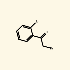 O=C(CBr)c1ccccc1Br